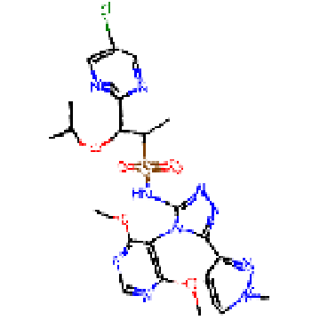 COc1ncnc(OC)c1-n1c(NS(=O)(=O)C(C)C(OC(C)C)c2ncc(Cl)cn2)nnc1-c1ccn(C)n1